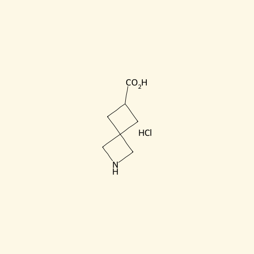 Cl.O=C(O)C1CC2(CNC2)C1